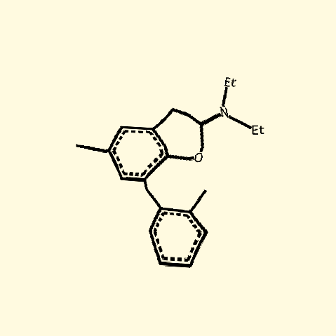 CCN(CC)C1Cc2cc(C)cc(-c3ccccc3C)c2O1